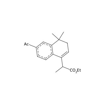 CCOC(=O)C(C)C1=CCC(C)(C)c2cc(C(C)=O)ccc21